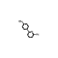 CC(=O)c1cccc(-c2ccc(C(C)(C)C)cc2)n1